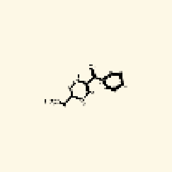 O=C(O)CC1CNC(C(=O)c2ccccc2)=CS1